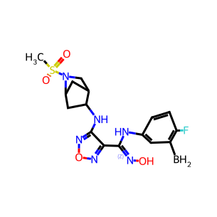 Bc1cc(N/C(=N\O)c2nonc2NC2CC3CC2CN3S(C)(=O)=O)ccc1F